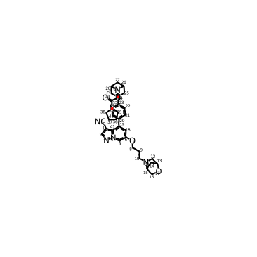 N#Cc1cnn2cc(OCCCN3CC4CC3CO4)cc(-c3ccc(N4CC5CC(C4)N5CC(=O)N4CCCC4)nc3)c12